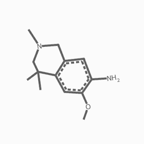 COc1cc2c(cc1N)CN(C)CC2(C)C